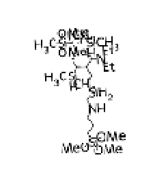 CCN(CC)c1c(CC[SiH2]CNCCC[Si](OC)(OC)OC)c([SiH](C)C)cc(C(C)[Si](C)(OC)OC)c1[SiH](C)C